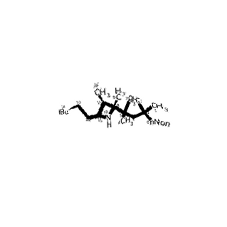 CCCCCCCCCC(C)(C)CC(C)(C)[C@]1(C)NC(CC[C@H](C)CC)[C@H]1C